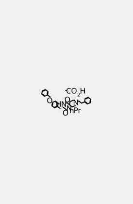 CC(=O)O.CCCN1C(=O)[C@H](Cc2ccc(OCc3ccccc3)cc2)NC(=O)C12CCN(CCc1ccccc1)CC2